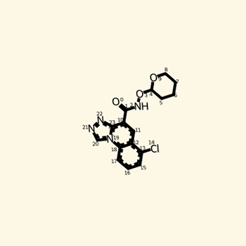 O=C(NOC1CCCCO1)c1cc2c(Cl)cccc2n2cnnc12